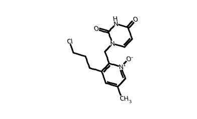 Cc1cc(CCCCl)c(Cn2ccc(=O)[nH]c2=O)[n+]([O-])c1